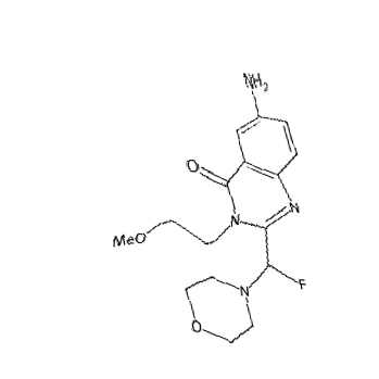 COCCn1c(C(F)N2CCOCC2)nc2ccc(N)cc2c1=O